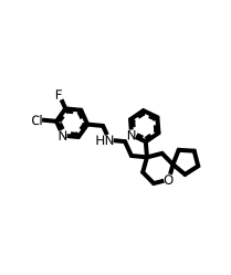 Fc1cc(CNCCC2(c3ccccn3)CCOC3(CCCC3)C2)cnc1Cl